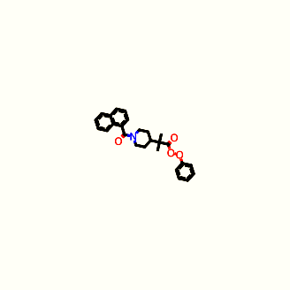 CC(C)(C(=O)OOc1ccccc1)C1CCN(C(=O)c2cccc3ccccc23)CC1